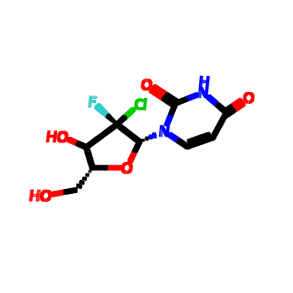 O=c1ccn([C@@H]2O[C@H](CO)C(O)[C@]2(F)Cl)c(=O)[nH]1